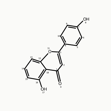 O=c1cc(-c2ccc(O)cc2)oc2cccc(O)c12